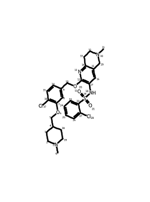 CN1CCC(COc2cc(COc3nc4c(cc3NS(=O)(=O)c3ccccc3Cl)CN(C)CC4)ccc2Cl)CC1